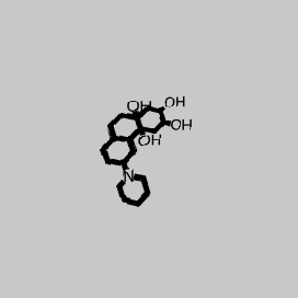 OC1CC2(O)CCC3CCC(N4CCCCC4)CC3C2(O)CC1O